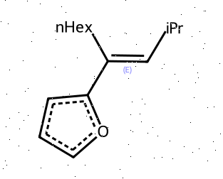 CCCCCC/C(=C\C(C)C)c1ccco1